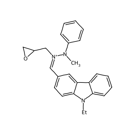 CCn1c2ccccc2c2cc(C=[N+](CC3CO3)N(C)c3ccccc3)ccc21